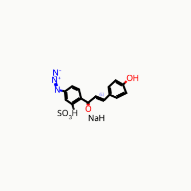 [N-]=[N+]=Nc1ccc(C(=O)/C=C/c2ccc(O)cc2)c(S(=O)(=O)O)c1.[NaH]